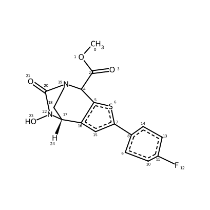 COC(=O)C1c2sc(-c3ccc(F)cc3)cc2[C@H]2CN1C(=O)N2O